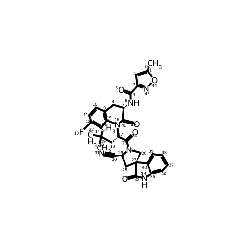 Cc1cc(C(=O)N[C@H]2Cc3ccc(F)cc3N([C@@H](CC(C)(C)C)C(=O)N3C[C@]4(C[C@H]3C#N)C(=O)Nc3ccccc34)C2=O)no1